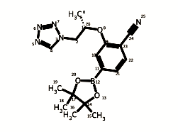 C[C@@H](Cn1cnnn1)Oc1cc(B2OC(C)(C)C(C)(C)O2)ccc1C#N